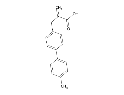 C=C(Cc1ccc(-c2ccc(C)cc2)cc1)C(=O)O